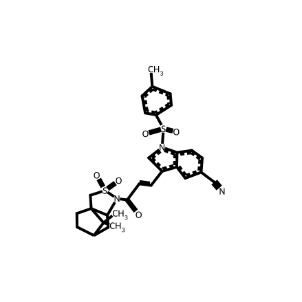 Cc1ccc(S(=O)(=O)n2cc(/C=C/C(=O)N3C4CC5CCC4(CS3(=O)=O)C5(C)C)c3cc(C#N)ccc32)cc1